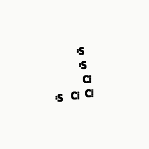 [C].[C].[C].[S].[S].[S]